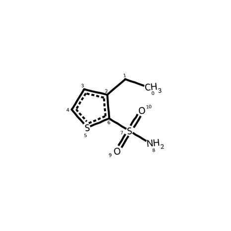 CCc1ccsc1S(N)(=O)=O